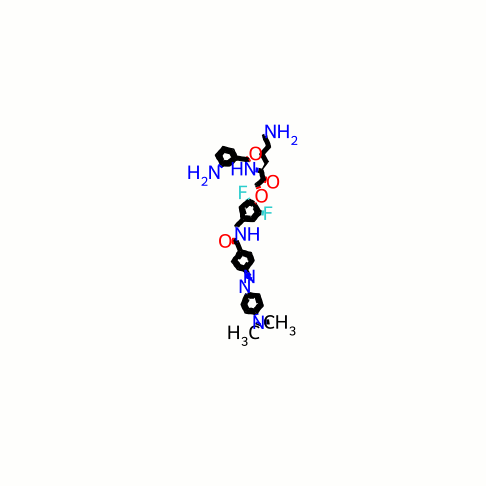 CN(C)c1ccc(/N=N/c2ccc(C(=O)NCc3cc(F)c(OCC(=O)[C@H](CCCCN)NC(=O)c4cccc(N)c4)c(F)c3)cc2)cc1